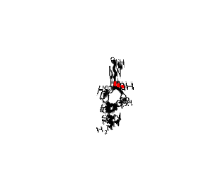 CC1=NC2C(N=CN2[C@@H]2O[C@@H]3CO[P@](=O)(S)O[C@H]4C[C@H](c5snc6c(N)ncnc56)O[C@@H]4CO[P@@](=O)(S)O[C@@H]2[C@@H]3CO)C(=O)N1